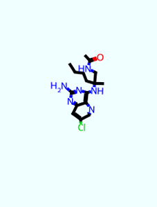 CCCCC(C)(CNC(C)=O)Nc1nc(N)nc2cc(Cl)cnc12